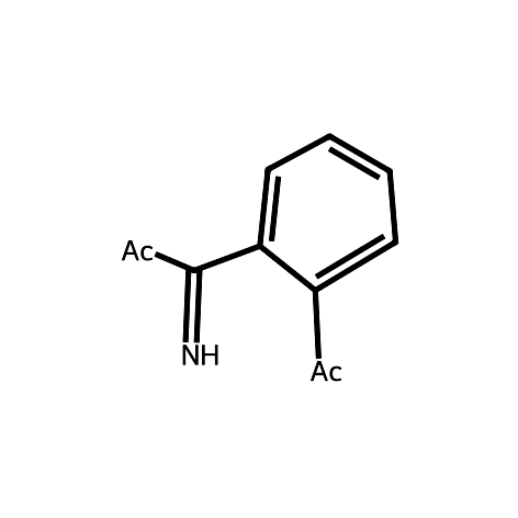 CC(=O)C(=N)c1ccccc1C(C)=O